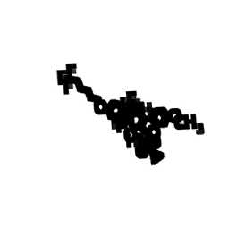 [2H]C1([2H])C(c2ccc(OC)cc2)=C(C(=O)NS(=O)(=O)C2CC2)C(=O)N[C@@]1(c1ccc(OCCCCCC(F)(F)F)cc1F)C(F)(F)F